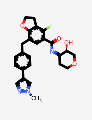 Cn1cc(-c2ccc(Cc3cc(C(=O)/N=C4/CCOC[C@@H]4O)c(F)c4c3OCC4)cc2)cn1